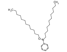 CCCCCCCCCCCCON(CCCCCCCCCCCC)c1ccccc1